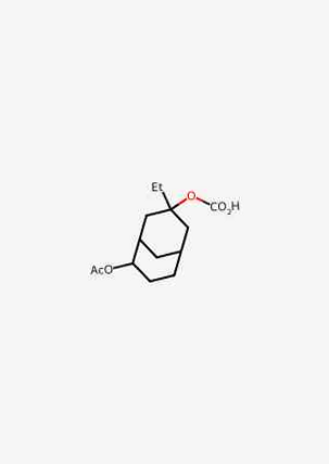 CCC1(OC(=O)O)CC2CCC(OC(C)=O)C(C2)C1